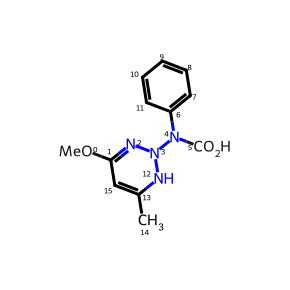 COC1=NN(N(C(=O)O)c2ccccc2)NC(C)=C1